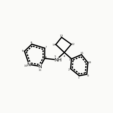 c1ccc(C2(Nc3cccnn3)CCC2)cc1